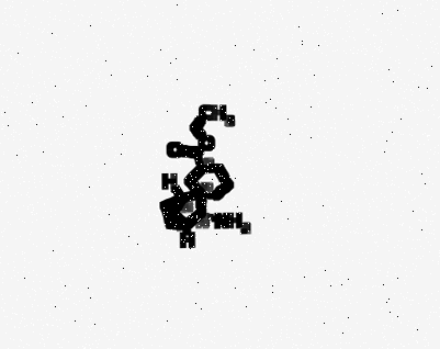 CCOC(=O)[C@H]1CCC[C@@]2(C1)[C@H]1CC[C@H](C1)[C@H]2N